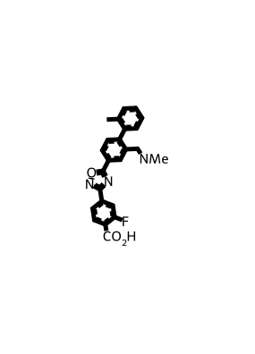 CNCc1cc(-c2nc(-c3ccc(C(=O)O)c(F)c3)no2)ccc1-c1ccccc1C